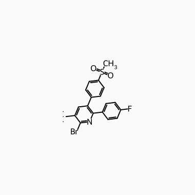 [C]c1cc(-c2ccc(S(C)(=O)=O)cc2)c(-c2ccc(F)cc2)nc1Br